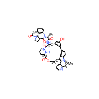 CCn1c(-c2cccnc2[C@H](C)OC)c2c3cc(ccc31)-c1cc(O)cc(c1)C[C@H](NC(=O)[C@H](C(C)C)N(C)C(=O)C1CCN(C(=O)OC)[C@@H]1c1ccccc1)C(=O)N1CCC[C@H](N1)C(=O)OCC(C)(C)C2